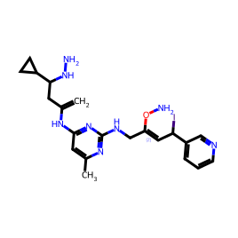 C=C(CC(NN)C1CC1)Nc1cc(C)nc(NC/C(=C/C(I)c2cccnc2)ON)n1